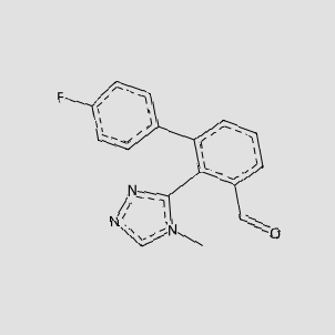 Cn1cnnc1-c1c(C=O)cccc1-c1ccc(F)cc1